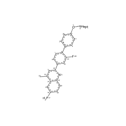 CCCCCCCOc1ccc(-c2ccc(-c3cc(C)c4cc(P)ccc4n3)cc2F)cc1